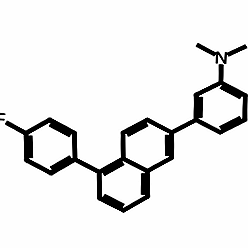 CN(C)c1cccc(-c2ccc3c(-c4ccc(F)cc4)cccc3c2)c1